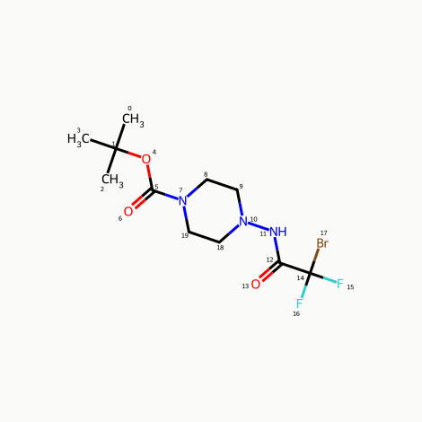 CC(C)(C)OC(=O)N1CCN(NC(=O)C(F)(F)Br)CC1